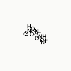 Cc1c(C(=O)Nc2ccnc(F)c2)c(C)n(C)c1C(=O)C(=O)NC12CC3CC(CC1C3)C2